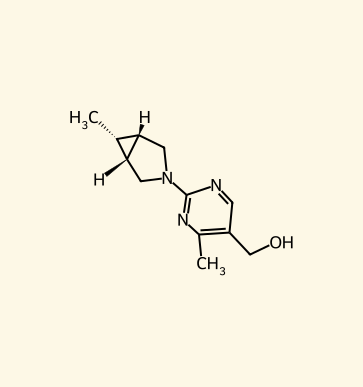 Cc1nc(N2C[C@@H]3[C@H](C)[C@@H]3C2)ncc1CO